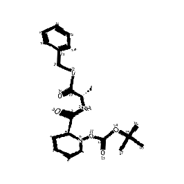 C[C@H](NC(=O)[C@@H]1CCCCN1OC(=O)OC(C)(C)C)C(=O)OCc1ccccc1